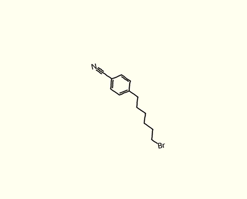 N#Cc1ccc(CCCCCCBr)cc1